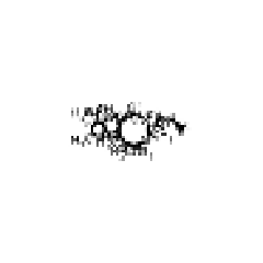 C[C@H]1CN(C)[C@H](C2CN(CC3CC3)C2)[C@@H](C)OC(=O)C(C)(C)C(=O)[C@H](C)[C@H]2O[C@@H]3O[C@H](C)C[C@H](N(C)C)[C@H]3OO[C@]2(C)C1